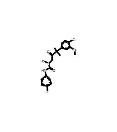 COc1cc(C(C)(C)C(=O)CN(S)C(=O)Nc2ccc(F)cc2)ccc1Cl